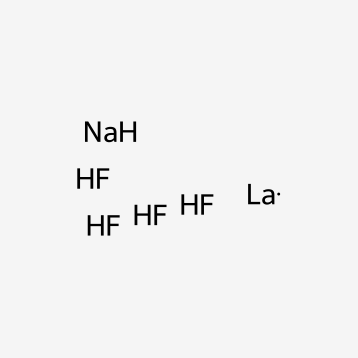 F.F.F.F.[La].[NaH]